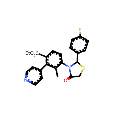 CCOC(=O)c1ccc(N2C(=O)CSC2c2ccc(F)cc2)c(C)c1-c1ccncc1